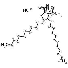 CCCCCCCCCCCCC1C(C(N)=O)C(C(N)=O)CN1CCCCCCCCCCCC.Cl